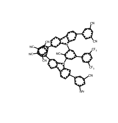 CCCc1cc(C#N)cc(-c2ccc3c4ccc(-c5cc(C#N)cc(C#N)c5)cc4n(-c4cc(-c5cc(C(F)(F)F)cc(C(F)(F)F)c5)cc(-n5c6cc(-c7cc(C#N)cc(C#N)c7)ccc6c6ccc(-c7cc(C#N)cc(C#N)c7)cc65)c4C#N)c3c2)c1